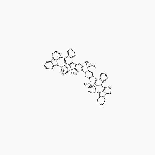 CC1(C)c2cc3c(cc2-c2cc4c(cc21)-c1c(cc(-c2cccc5c6ccccc6n(-c6ccccc6)c25)c2ccccc12)C4(C)C)C(C)(C)c1cc(-c2cccc4c5ccccc5n(-c5ccccc5)c24)c2ccccc2c1-3